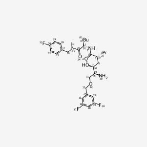 CC[C@H](C)[C@H](NC(=O)[C@@H](C[C@H](O)[C@@H](N)COCc1cc(F)cc(F)c1)C(C)C)C(=O)NCc1ccc(F)cc1